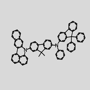 CC1(C)c2cc(N(c3ccccc3)c3ccc4c(c3)C(c3ccccc3)(c3ccccc3)c3ccccc3-4)ccc2-c2ccc(N3c4cc5ccccc5cc4-c4cccc5cccc3c45)cc21